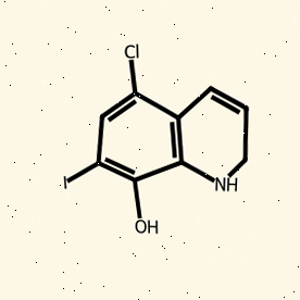 Oc1c(I)cc(Cl)c2c1NCC=C2